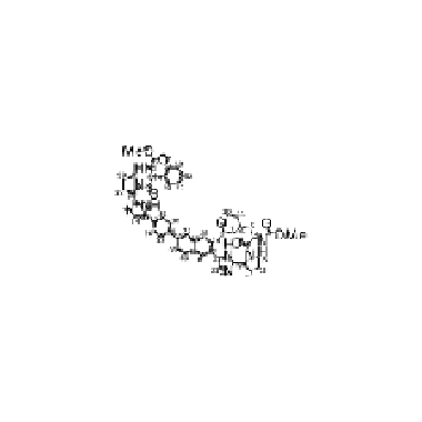 COC(=O)NC(CC1CCOCC1)C(=O)N1CCC[C@H]1c1ncc(-c2ccc3cc(-c4ccc(-c5cnc([C@@H]6CCCN6C(=O)[C@H](NC(=O)OC)c6ccccc6)[nH]5)cc4)ccc3c2)[nH]1